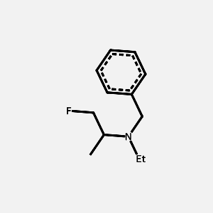 CCN(Cc1ccccc1)C(C)CF